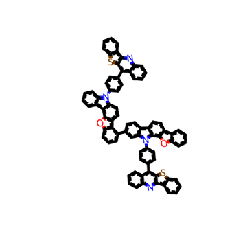 c1ccc2c(-c3ccc(-n4c5ccccc5c5c6oc7cccc(-c8ccc9c%10ccc%11c%12ccccc%12oc%11c%10n(-c%10ccc(-c%11c%12ccccc%12nc%12c%11sc%11ccccc%11%12)cc%10)c9c8)c7c6ccc54)cc3)c3sc4ccccc4c3nc2c1